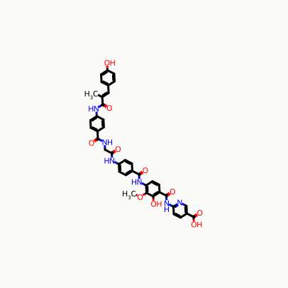 COc1c(NC(=O)c2ccc(NC(=O)CNC(=O)c3ccc(NC(=O)/C(C)=C/c4ccc(O)cc4)cc3)cc2)ccc(C(=O)Nc2ccc(C(=O)O)cn2)c1O